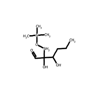 CCCC(O)C(O)([C]=O)[SiH2]O[Si](C)(C)C